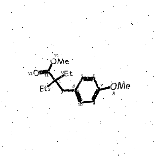 CCC(CC)(Cc1ccc(OC)cc1)C(=O)OC